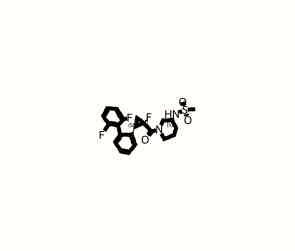 CS(=O)(=O)N[C@H]1CCCN(C(=O)[C@]2(F)C[C@H]2c2ccccc2-c2c(F)cccc2F)C1